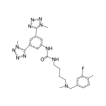 Cc1ccc(CN(C)CCCCNC(=O)Nc2cc(-c3nnnn3C)cc(-c3nnnn3C)c2)cc1F